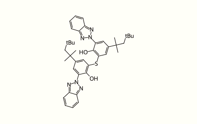 CC(C)(C)CC(C)(C)c1cc(Sc2cc(C(C)(C)CC(C)(C)C)cc(-n3nc4ccccc4n3)c2O)c(O)c(-n2nc3ccccc3n2)c1